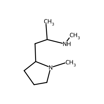 CNC(C)CC1CCCN1C